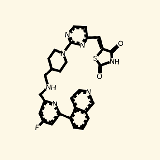 O=C1NC(=O)C(=Cc2ccnc(N3CCC(CNCc4cc(F)cc(-c5cccc6cnccc56)n4)CC3)n2)S1